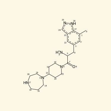 Cc1cc(CC(N)C(=O)N2CCC(N3CCCNCC3)CC2)cc2cn[nH]c12